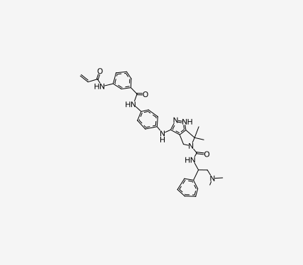 C=CC(=O)Nc1cccc(C(=O)Nc2ccc(Nc3n[nH]c4c3CN(C(=O)NC(CN(C)C)c3ccccc3)C4(C)C)cc2)c1